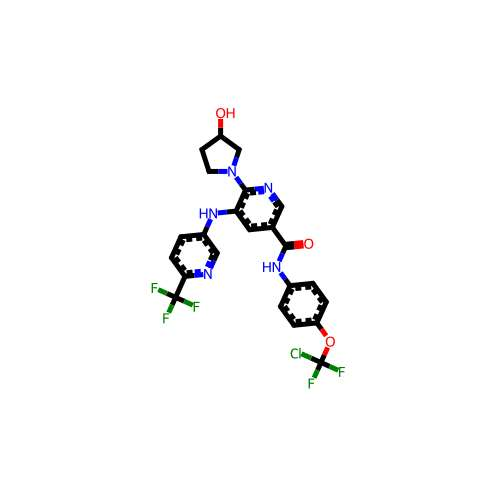 O=C(Nc1ccc(OC(F)(F)Cl)cc1)c1cnc(N2CCC(O)C2)c(Nc2ccc(C(F)(F)F)nc2)c1